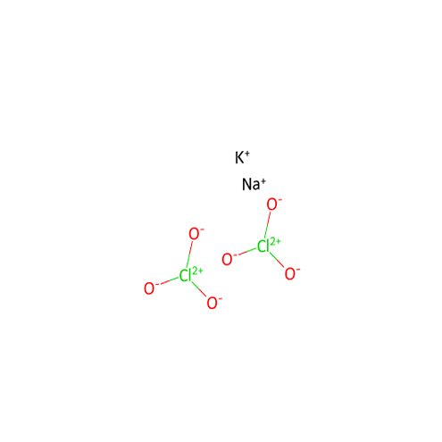 [K+].[Na+].[O-][Cl+2]([O-])[O-].[O-][Cl+2]([O-])[O-]